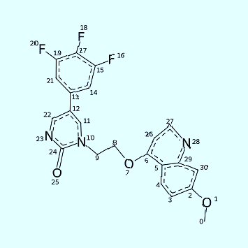 COc1ccc2c(OCCn3cc(-c4cc(F)c(F)c(F)c4)cnc3=O)ccnc2c1